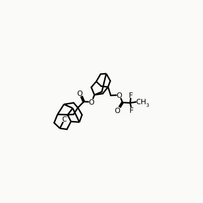 CC(F)(F)C(=O)OCC12CC3CC(C1)CC(OC(=O)C14CC5C6CC7CC5C(C1)C(C7)C6C4)(C3)C2